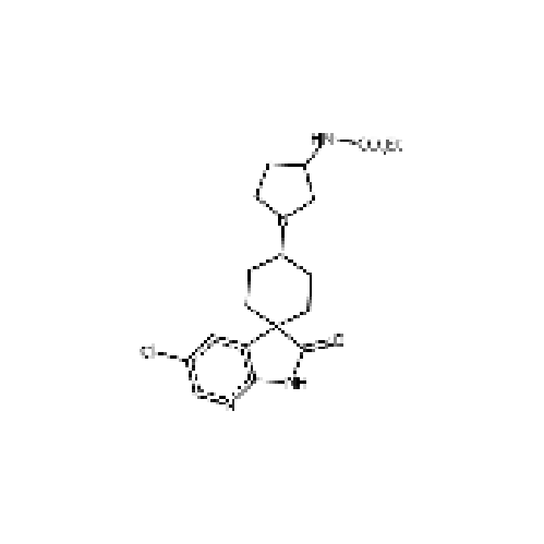 CCOC(=O)NC1CCN(C2CCC3(CC2)C(=O)Nc2ncc(Cl)cc23)C1